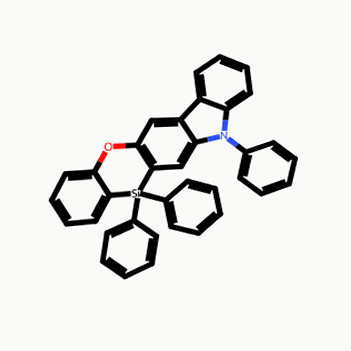 c1ccc(-n2c3ccccc3c3cc4c(cc32)[Si](c2ccccc2)(c2ccccc2)c2ccccc2O4)cc1